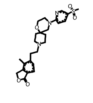 Cc1c(CCN2CCC3(CC2)CN(c2ccc(S(C)(=O)=O)cn2)CCO3)ccc2c1COC2=O